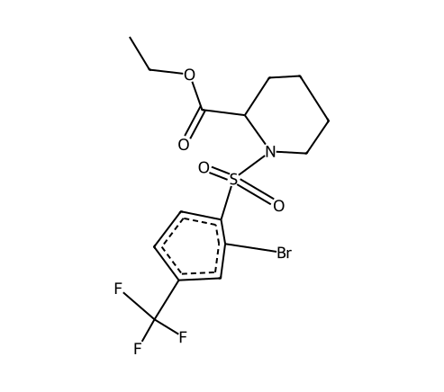 CCOC(=O)C1CCCCN1S(=O)(=O)c1ccc(C(F)(F)F)cc1Br